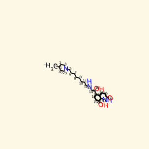 [CH2]C1CCN(CCCCCCCCNC[C@H](O)c2ccc(O)c3[nH]c(=O)ccc23)CC1